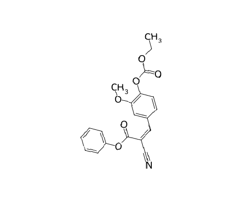 CCOC(=O)Oc1ccc(C=C(C#N)C(=O)Oc2ccccc2)cc1OC